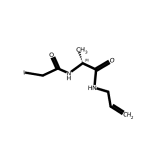 C=CCNC(=O)[C@@H](C)NC(=O)CI